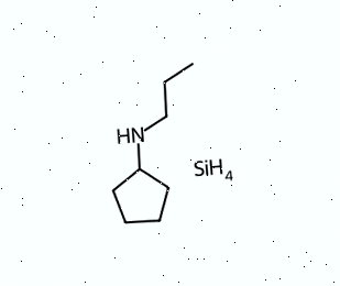 CCCNC1CCCC1.[SiH4]